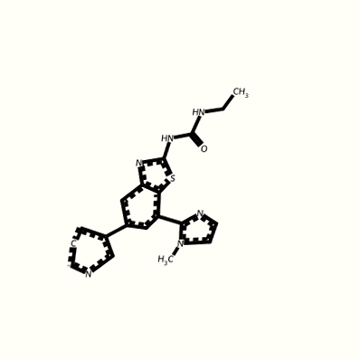 CCNC(=O)Nc1nc2cc(-c3cccnc3)cc(-c3nccn3C)c2s1